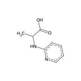 CC(Nc1[c]cccn1)C(=O)O